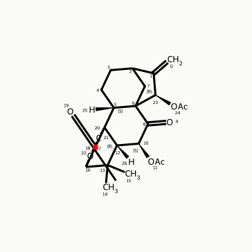 C=C1C2CC[C@@H]3C(C2)(C(=O)[C@@H](OC(C)=O)[C@@H]2C(C)(C)C4CC(=O)C32CO4)[C@@H]1OC(C)=O